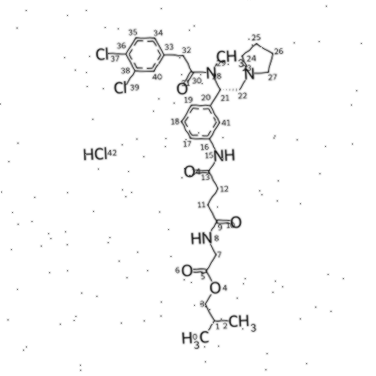 CC(C)COC(=O)CNC(=O)CCC(=O)Nc1cccc([C@@H](CN2CCCC2)N(C)C(=O)Cc2ccc(Cl)c(Cl)c2)c1.Cl